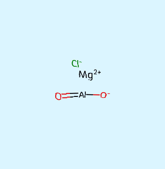 [Cl-].[Mg+2].[O]=[Al][O-]